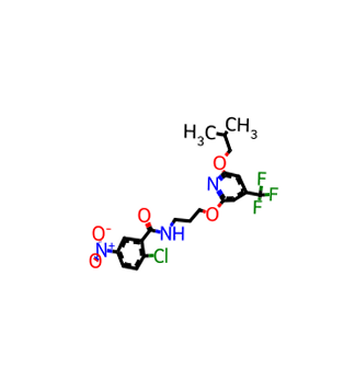 CC(C)COc1cc(C(F)(F)F)cc(OCCCNC(=O)c2cc([N+](=O)[O-])ccc2Cl)n1